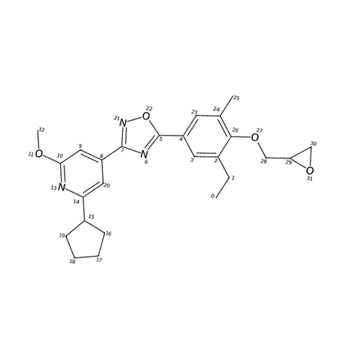 CCc1cc(-c2nc(-c3cc(OC)nc(C4CCCC4)c3)no2)cc(C)c1OCC1CO1